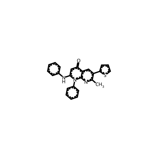 Cc1nc2c(cc1-c1cccs1)c(=O)cc(Nc1ccccc1)n2-c1ccccc1